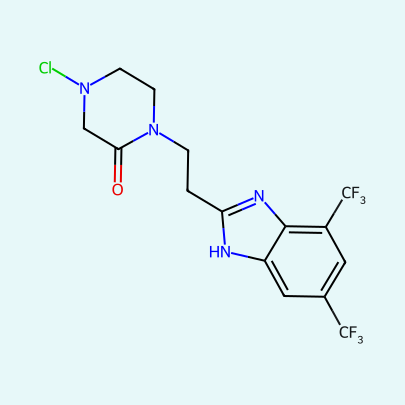 O=C1CN(Cl)CCN1CCc1nc2c(C(F)(F)F)cc(C(F)(F)F)cc2[nH]1